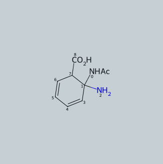 CC(=O)NC1(N)C=CC=CC1C(=O)O